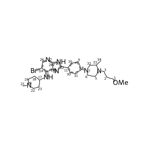 COCCCN1CCN(c2ccc(-c3nc4c(NC5CCN(C)CC5)c(Br)cnc4[nH]3)cc2)CC1C